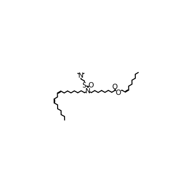 CCCCCC/C=C\C/C=C\CCCCCCCN(CCCCCCCC(=O)OC/C=C\CCCCCC)C(=O)SCCN(C)C